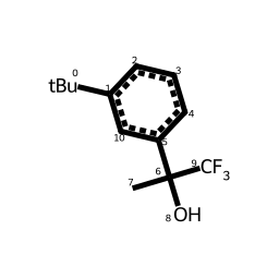 CC(C)(C)c1cccc(C(C)(O)C(F)(F)F)c1